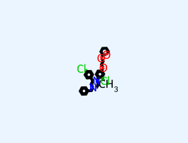 CC1CN(Cc2ccccc2)CC(c2ccc(Cl)cc2)N1c1ccc(OCCOC2CCCCO2)cc1Cl